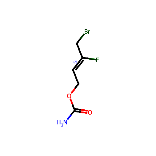 NC(=O)OC/C=C(\F)CBr